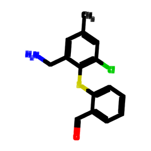 Cc1cc(Cl)c(Sc2ccccc2C=O)c(CN)c1